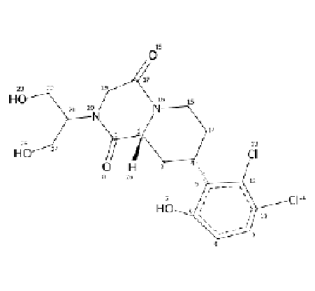 O=C1[C@H]2C[C@@H](c3c(O)ccc(Cl)c3Cl)CCN2C(=O)CN1C(CO)CO